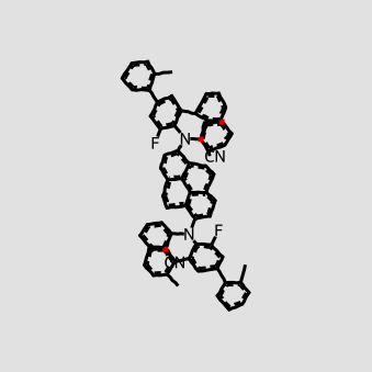 Cc1ccccc1-c1cc(F)c(N(c2ccccc2C#N)c2ccc3ccc4c(N(c5ccccc5C#N)c5c(F)cc(-c6ccccc6C)cc5-c5ccccc5C)ccc5ccc2c3c54)c(-c2ccccc2C)c1